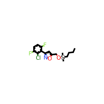 CCCC[Si](C)(C)OCc1cc(-c2c(F)ccc(F)c2Cl)no1